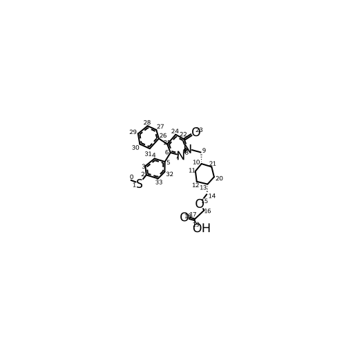 CSc1ccc(-c2nn(C[C@H]3CC[C@@H](COCC(=O)O)CC3)c(=O)cc2-c2ccccc2)cc1